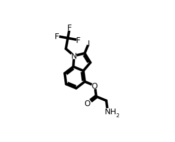 NCC(=O)Oc1cccc2c1cc(I)n2CC(F)(F)F